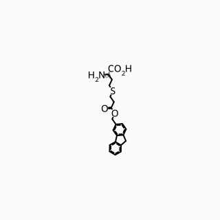 N[C@@H](CCSCCC(=O)OCc1ccc2c(c1)-c1ccccc1C2)C(=O)O